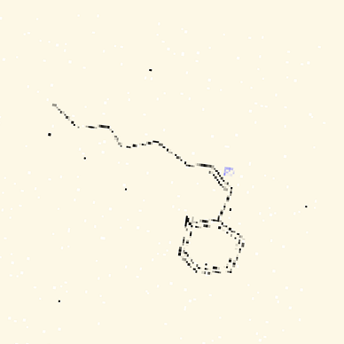 CCCCCC/C=C\c1ccccn1